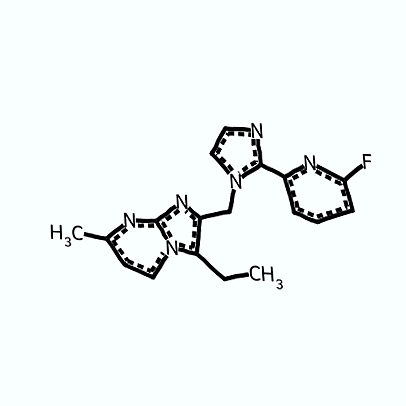 CCc1c(Cn2ccnc2-c2cccc(F)n2)nc2nc(C)ccn12